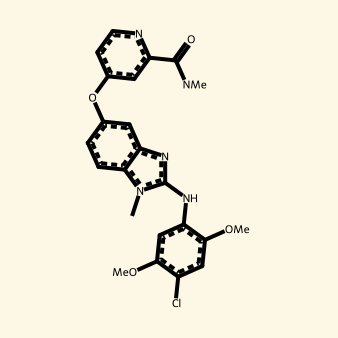 CNC(=O)c1cc(Oc2ccc3c(c2)nc(Nc2cc(OC)c(Cl)cc2OC)n3C)ccn1